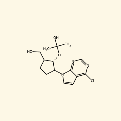 CC(C)(O)O[C@H]1C(CO)CCC1n1ccc2c(Cl)ncnc21